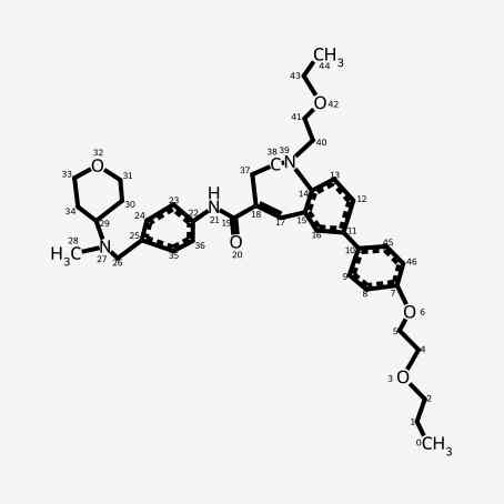 CCCOCCOc1ccc(-c2ccc3c(c2)C=C(C(=O)Nc2ccc(CN(C)C4CCOCC4)cc2)CCN3CCOCC)cc1